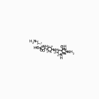 NCCC[C@H](NC(=O)c1ccc(NCC2CNc3nc(N)[nH]c(=O)c3C2)cc1)C(=O)O